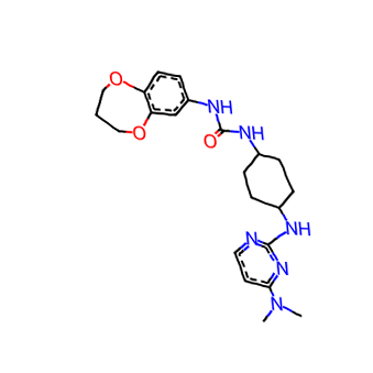 CN(C)c1ccnc(NC2CCC(NC(=O)Nc3ccc4c(c3)OCCCO4)CC2)n1